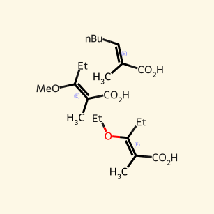 CC/C(OC)=C(/C)C(=O)O.CCCC/C=C(\C)C(=O)O.CCO/C(CC)=C(\C)C(=O)O